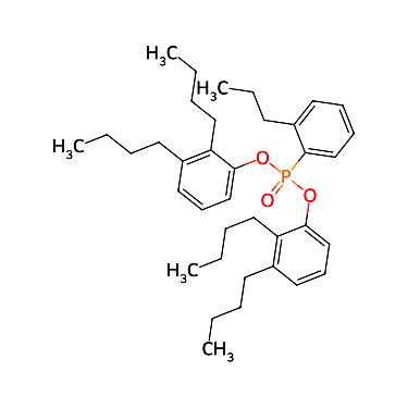 CCCCc1cccc(OP(=O)(Oc2cccc(CCCC)c2CCCC)c2ccccc2CCC)c1CCCC